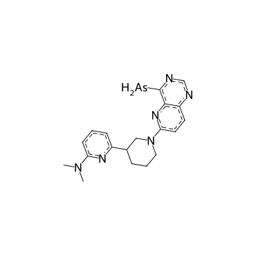 CN(C)c1cccc(C2CCCN(c3ccc4ncnc([AsH2])c4n3)C2)n1